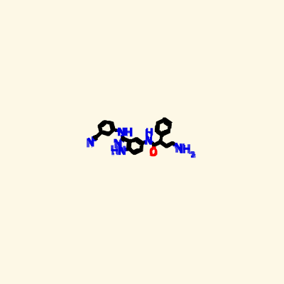 N#Cc1cccc(Nc2n[nH]c3ccc(NC(=O)C(CCN)c4ccccc4)cc23)c1